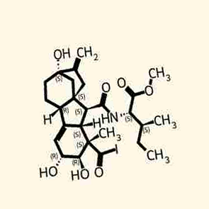 C=C1C[C@]23C[C@@]1(O)CC[C@H]2C1=C[C@@H](O)[C@H](O)[C@@](C)(C(=O)I)[C@H]1[C@@H]3C(=O)N[C@H](C(=O)OC)[C@@H](C)CC